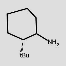 CC(C)(C)[C@@H]1CCCCC1N